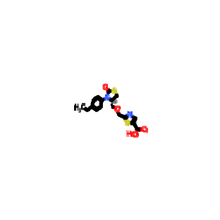 CCc1ccc(N2C(=O)SC[C@@H]2COCc2ncc(C(=O)O)s2)cc1